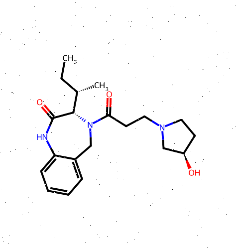 CC[C@H](C)[C@H]1C(=O)Nc2ccccc2CN1C(=O)CCN1CC[C@@H](O)C1